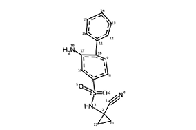 N#CC1(NS(=O)(=O)c2ccc(-c3ccccc3)c(N)c2)CC1